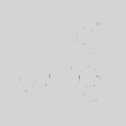 CC(C)(C)O[C@H]1CC[C@H](C(=O)N2Cc3cccnc3Nc3ccc(N4C[C@H]5CC[C@@H]4CO5)cc32)OC1